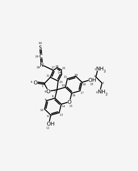 NCCN.O=C1OC2(c3ccc(O)cc3Oc3cc(O)ccc32)c2cccc(N=C=S)c21